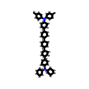 Cc1ccc(N(c2ccc(C)cc2)c2ccc(-c3ccc(-c4ccc(-c5ccc(-c6ccc(N(c7ccccc7)c7ccccc7)cc6)cc5)cc4)cc3)cc2)cc1